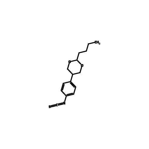 CCCCC1OCC(c2ccc(N=C=S)cc2)CO1